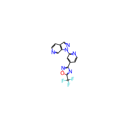 FC(F)(F)c1nc(-c2ccnc(-n3ncc4ccncc43)c2)no1